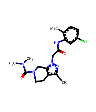 COc1ccc(Cl)cc1NC(=O)Cn1nc(C(F)(F)F)c2c1CN(C(=O)N(C)C)CC2